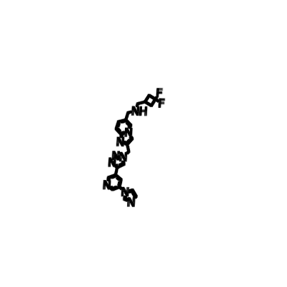 FC1(F)CC(CNCc2ccc3nc(Cn4cc(-c5cncc(-n6ccnc6)c5)nn4)cn3c2)C1